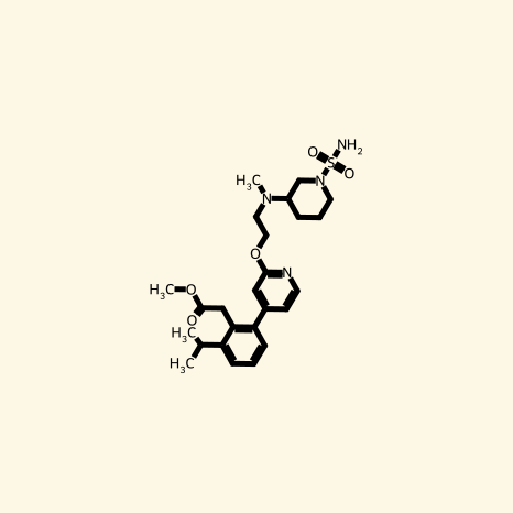 COC(=O)Cc1c(-c2ccnc(OCCN(C)C3CCCN(S(N)(=O)=O)C3)c2)cccc1C(C)C